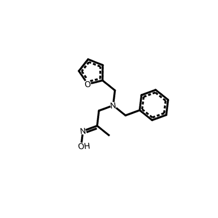 C/C(CN(Cc1ccccc1)Cc1ccco1)=N\O